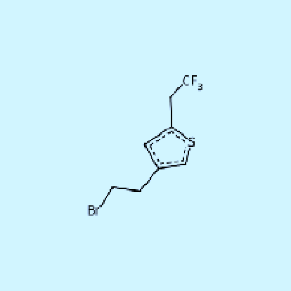 FC(F)(F)Cc1cc(CCBr)cs1